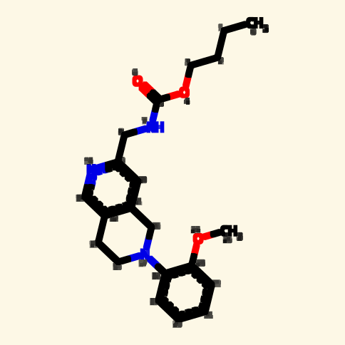 CCCCOC(=O)NCc1cc2c(cn1)CCN(c1ccccc1OC)C2